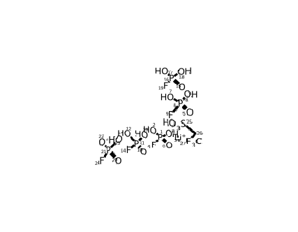 O=P(O)(O)F.O=P(O)(O)F.O=P(O)(O)F.O=P(O)(O)F.O=P([O-])(O)F.O=S(=O)(O)CC(F)(F)F.[Li+]